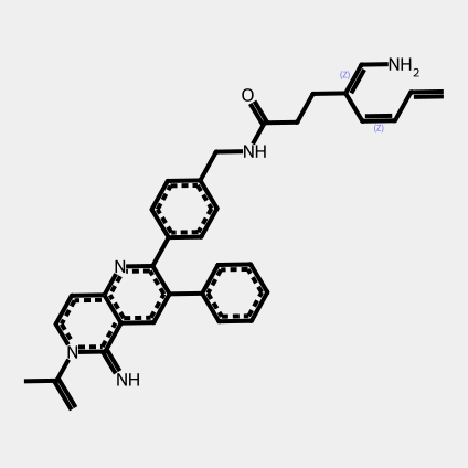 C=C/C=C\C(=C/N)CCC(=O)NCc1ccc(-c2nc3ccn(C(=C)C)c(=N)c3cc2-c2ccccc2)cc1